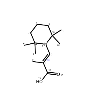 C/C(=C\N1C(C)(C)CCCC1(C)C)C(=O)O